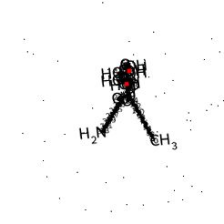 CCCCCCCCCCCCCCCC(=O)O[C@H](COC(=O)CCCCCCCCCCCN)COP(=O)(O)OC1C(O)[C@H](O)C(O)[C@H](OP(=O)(O)O)[C@@H]1O